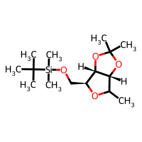 CC1O[C@@H](CO[Si](C)(C)C(C)(C)C)[C@@H]2OC(C)(C)O[C@H]12